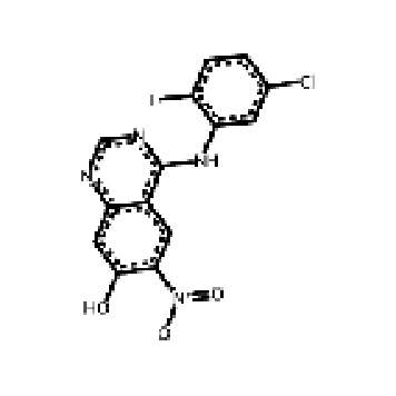 O=[N+]([O-])c1cc2c(Nc3cc(Cl)ccc3F)ncnc2cc1O